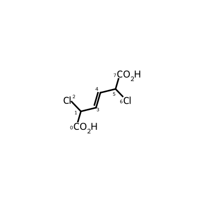 O=C(O)C(Cl)C=CC(Cl)C(=O)O